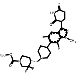 Cn1nc(C2CCC(=O)NC2=O)c2cc(F)c(C3CCN(C[C@H]4CCN(C(=O)OC(C)(C)C)CC4(F)F)CC3)c(F)c21